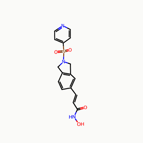 O=C(C=Cc1ccc2c(c1)CN(S(=O)(=O)c1ccncc1)C2)NO